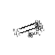 CCCCCCCCCCCC[N+](C)(C)C.CCCCCCCCCCCC[N+](C)(C)C.CCOP(=O)([O-])[O-]